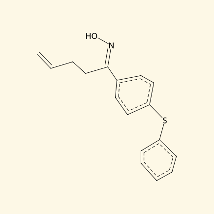 C=CCC/C(=N\O)c1ccc(Sc2ccccc2)cc1